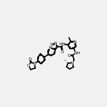 Cc1ncc(NC(=O)CN2CCC[C@@H]2C)cc1NC(=O)c1nnn2cc(-c3ccc(N4CCOC4=O)cc3)ccc12